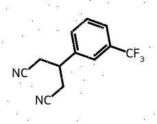 N#CCC(CC#N)c1cccc(C(F)(F)F)c1